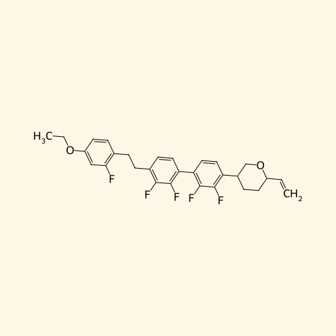 C=CC1CCC(c2ccc(-c3ccc(CCc4ccc(OCC)cc4F)c(F)c3F)c(F)c2F)CO1